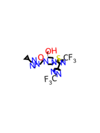 O=C(Cn1cnc(C2CC2)n1)N1CCN(c2sc(C(F)(F)F)nc2-c2cnc(C(F)(F)F)nc2)C[C@H]1CO